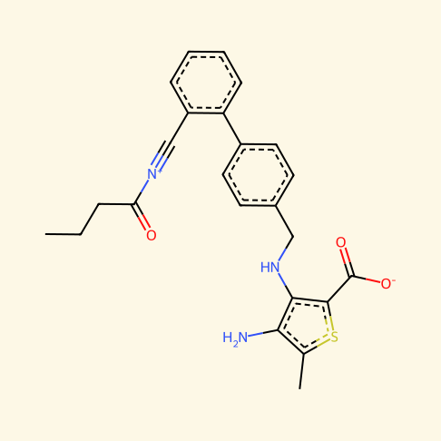 CCCC(=O)[N+]#Cc1ccccc1-c1ccc(CNc2c(C(=O)[O-])sc(C)c2N)cc1